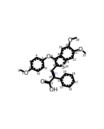 COc1ccc(Oc2c(/C=C(/C(=O)O)c3ccccc3)sc3cc(OC)c(OC)cc23)cc1